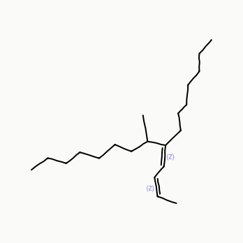 C/C=C\C=C(\CCCCCCC)C(C)CCCCCCC